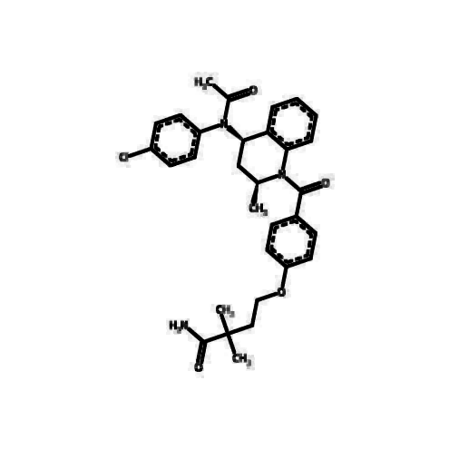 CC(=O)N(c1ccc(Cl)cc1)[C@@H]1C[C@H](C)N(C(=O)c2ccc(OCCC(C)(C)C(N)=O)cc2)c2ccccc21